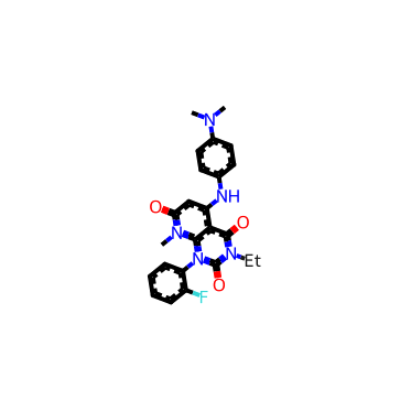 CCn1c(=O)c2c(Nc3ccc(N(C)C)cc3)cc(=O)n(C)c2n(-c2ccccc2F)c1=O